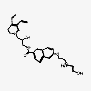 C=CC1=C(C=C)CN(CC(O)CNC(=O)c2ccc3cc(OCCNCCO)ccc3c2)CC1